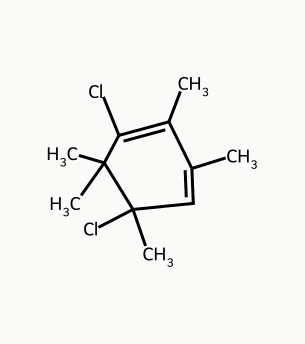 CC1=CC(C)(Cl)C(C)(C)C(Cl)=C1C